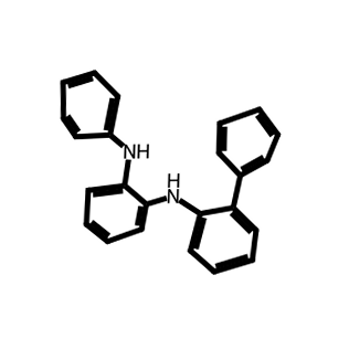 c1ccc(Nc2ccccc2Nc2ccccc2-c2ccccc2)cc1